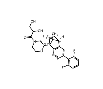 CC1(C)[C@H]2CC[C@]1([C@@H]1CN(C(=O)C(O)CO)CCO1)c1nnc(-c3c(F)cccc3F)cc12